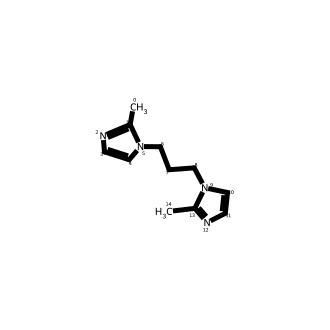 Cc1nccn1CCCn1ccnc1C